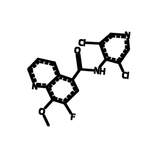 COc1c(F)cc(C(=O)Nc2c(Cl)cncc2Cl)c2cccnc12